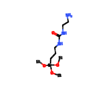 CCO[Si](CCCNC(=O)NCCN)(OCC)OCC